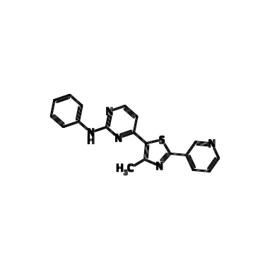 Cc1nc(-c2cccnc2)sc1-c1ccnc(Nc2ccccc2)n1